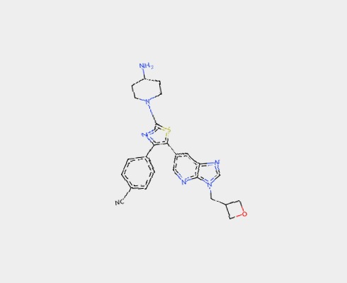 N#Cc1ccc(-c2nc(N3CCC(N)CC3)sc2-c2cnc3c(c2)ncn3CC2COC2)cc1